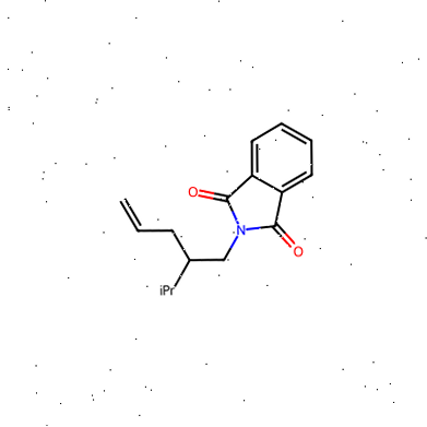 C=CCC([CH]N1C(=O)c2ccccc2C1=O)C(C)C